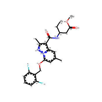 Cc1cc(OCc2c(F)cccc2F)n2nc(C)c(C(=O)NC(CC(=O)OC(C)(C)C)CC(C)C)c2c1